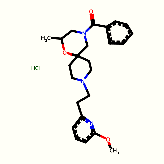 COc1cccc(CCN2CCC3(CC2)CN(C(=O)c2ccccc2)CC(C)O3)n1.Cl